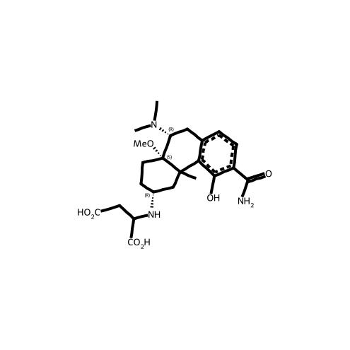 CO[C@@]12CC[C@@H](NC(CC(=O)O)C(=O)O)CC1(C)c1c(ccc(C(N)=O)c1O)C[C@H]2N(C)C